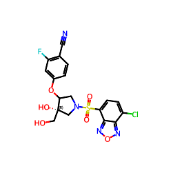 N#Cc1ccc(OC2CN(S(=O)(=O)c3ccc(Cl)c4nonc34)C[C@@]2(O)CO)cc1F